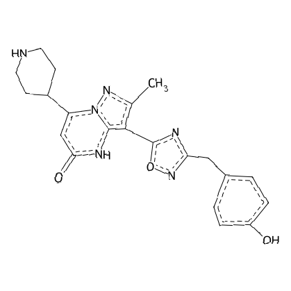 Cc1nn2c(C3CCNCC3)cc(=O)[nH]c2c1-c1nc(Cc2ccc(O)cc2)no1